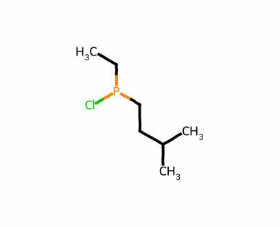 CCP(Cl)CCC(C)C